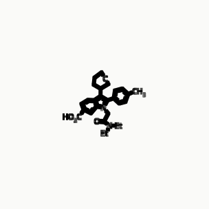 CCN(CC)C(=O)Cn1c(-c2ccc(C)cc2)c(C2CCCCC2)c2ccc(C(=O)O)cc21